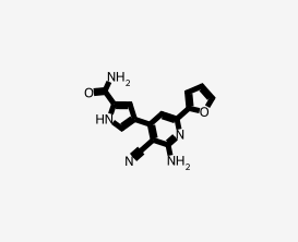 N#Cc1c(-c2c[nH]c(C(N)=O)c2)cc(-c2ccco2)nc1N